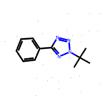 CC(C)(C)n1nnc(-c2ccccc2)n1